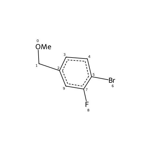 COCc1ccc(Br)c(F)c1